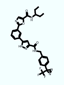 CCC(CC)NC(=O)c1cnc(-c2cccc(-c3cc(C(=O)NCc4ccc(C5(C(F)(F)F)N=N5)cc4)n[nH]3)c2)o1